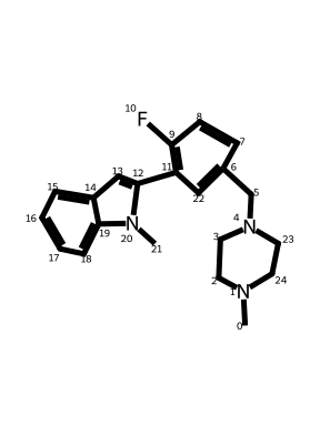 CN1CCN(Cc2ccc(F)c(-c3cc4ccccc4n3C)c2)CC1